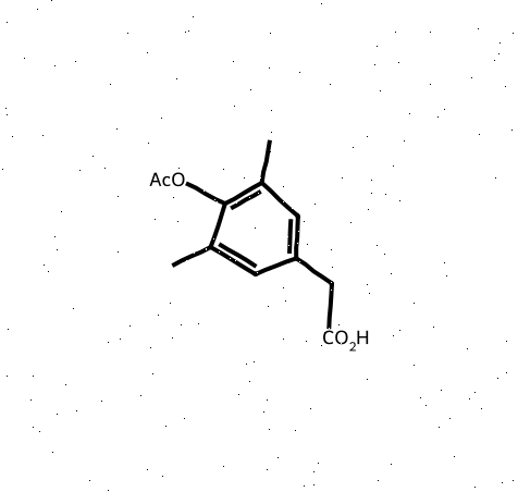 CC(=O)Oc1c(C)cc(CC(=O)O)cc1C